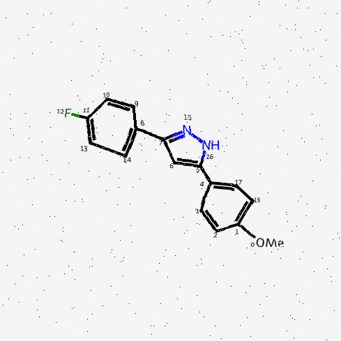 COc1ccc(-c2cc(-c3ccc(F)cc3)n[nH]2)cc1